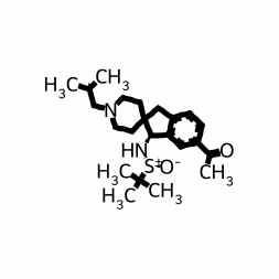 C[C](C)CN1CCC2(CC1)Cc1ccc(C(C)=O)cc1[C@H]2N[S@+]([O-])C(C)(C)C